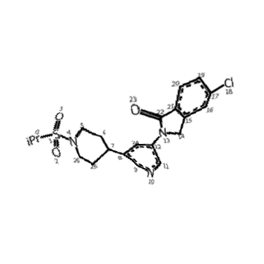 CC(C)S(=O)(=O)N1CCC(c2cncc(N3Cc4cc(Cl)ccc4C3=O)c2)CC1